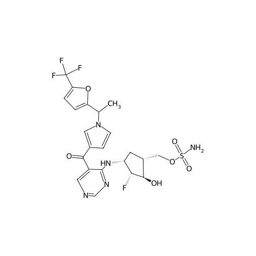 CC(c1ccc(C(F)(F)F)o1)n1ccc(C(=O)c2cncnc2N[C@@H]2C[C@H](COS(N)(=O)=O)[C@@H](O)[C@@H]2F)c1